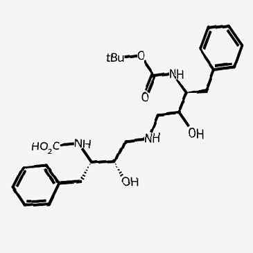 CC(C)(C)OC(=O)N[C@@H](Cc1ccccc1)C(O)CNC[C@H](O)[C@H](Cc1ccccc1)NC(=O)O